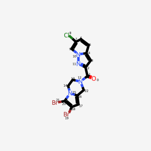 O=C(c1cc2ccc(Cl)cn2n1)N1CCn2c(cc(Br)c2Br)C1